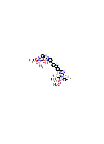 COC(=O)N[C@@H](C)C(=O)N1[C@@H]2CC[C@@H](C2)[C@H]1c1nc2ccc(-c3ccc4c(c3)C(F)(F)c3cc(-c5cnc(CN(CC6(C)CC6)C(=O)[C@@H](NC(=O)OC)C(C)C)[nH]5)ccc3-4)cc2[nH]1